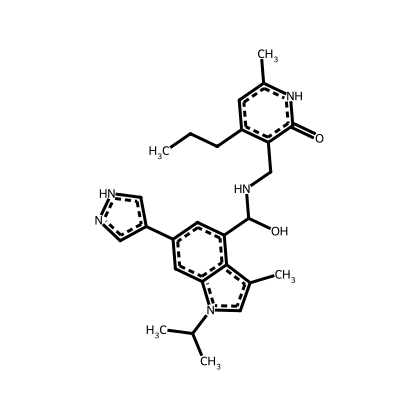 CCCc1cc(C)[nH]c(=O)c1CNC(O)c1cc(-c2cn[nH]c2)cc2c1c(C)cn2C(C)C